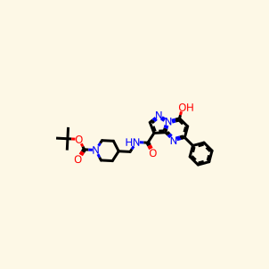 CC(C)(C)OC(=O)N1CCC(CNC(=O)c2cnn3c(O)cc(-c4ccccc4)nc23)CC1